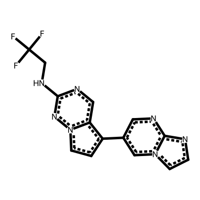 FC(F)(F)CNc1ncc2c(-c3cnc4nccn4c3)ccn2n1